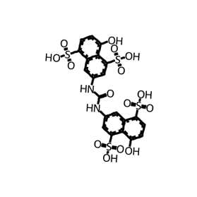 O=C(Nc1cc(S(=O)(=O)O)c2c(O)ccc(S(=O)(=O)O)c2c1)Nc1cc(S(=O)(=O)O)c2c(O)ccc(S(=O)(=O)O)c2c1